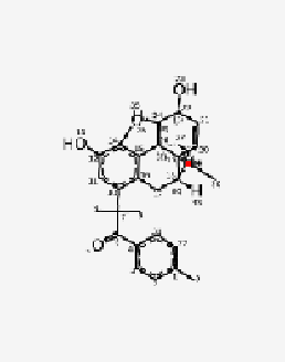 Cc1ccc(C(=O)C(C)(C)c2cc(O)c3c4c2C[C@@H]2[C@@H]5C=C[C@H](O)[C@H](O3)[C@]45CCN2C)cc1